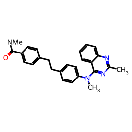 CNC(=O)c1ccc(CCc2ccc(N(C)c3nc(C)nc4ccccc34)cc2)cc1